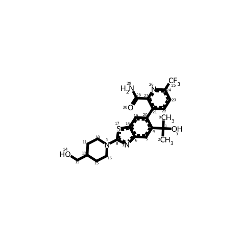 CC(C)(O)c1cc2nc(N3CCC(CO)CC3)sc2cc1-c1ccc(C(F)(F)F)nc1C(N)=O